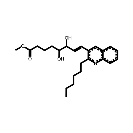 CCCCCCc1nc2ccccc2cc1/C=C/C(O)C(O)CCCC(=O)OC